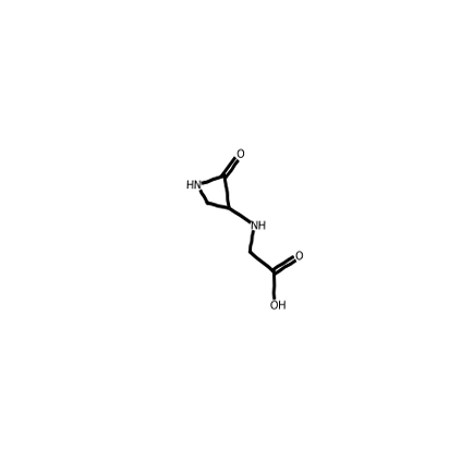 O=C(O)CNC1CNC1=O